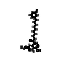 CN(C)C[C@@H](CC(=O)O)NC(=O)CCCCCCCCCc1cccc(F)c1